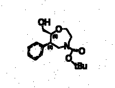 CC(C)(C)OC(=O)N1CCO[C@H](CO)[C@H](c2ccccc2)C1